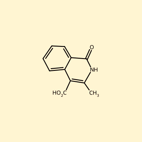 Cc1[nH]c(=O)c2ccccc2c1C(=O)O